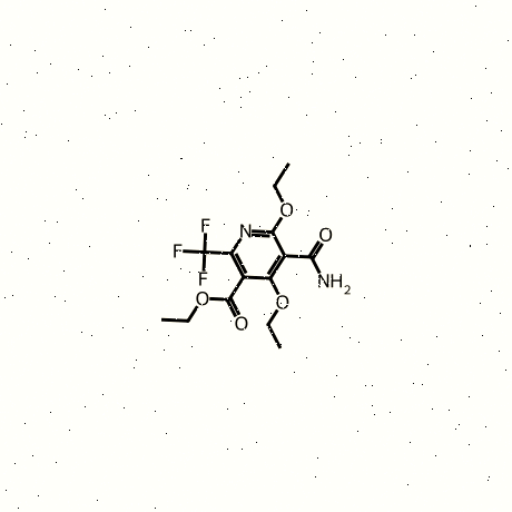 CCOC(=O)c1c(C(F)(F)F)nc(OCC)c(C(N)=O)c1OCC